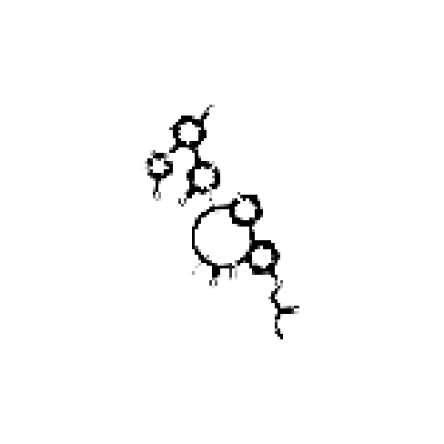 COC(=O)COc1ccc2c(c1)NC(=O)[C@H](C)CCC[C@H](n1cnc(-c3cc(Cl)ccc3-n3cc(Cl)nn3)cc1=O)c1cc-2ccn1